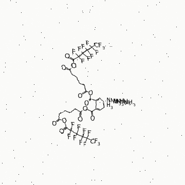 N.N.N.N.N.N.O=C(CCCCC(=O)OC(=O)C(F)(F)C(F)(F)C(F)(F)C(F)(F)C(F)(F)F)OC(=O)c1ccccc1C(=O)OC(=O)CCCCC(=O)OC(=O)C(F)(F)C(F)(F)C(F)(F)C(F)(F)C(F)(F)F